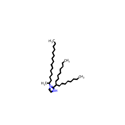 CCCCCCCCCCCCCCC(C)[n+]1cc[nH]c1C(CCCCCCCC)CCCCCCCC